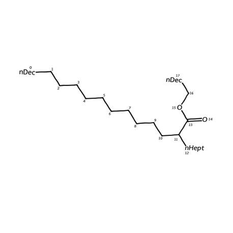 CCCCCCCCCCCCCCCCCCCCC(CCCCCCC)C(=O)OCCCCCCCCCCC